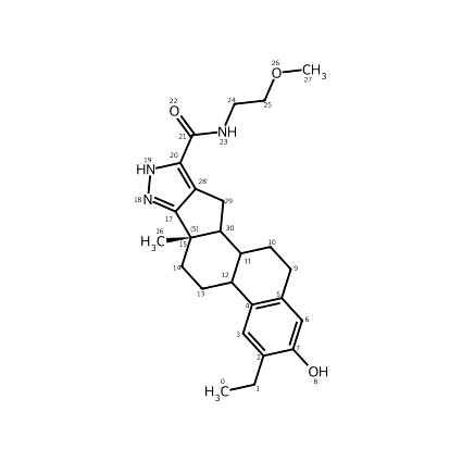 CCc1cc2c(cc1O)CCC1C2CC[C@]2(C)c3n[nH]c(C(=O)NCCOC)c3CC12